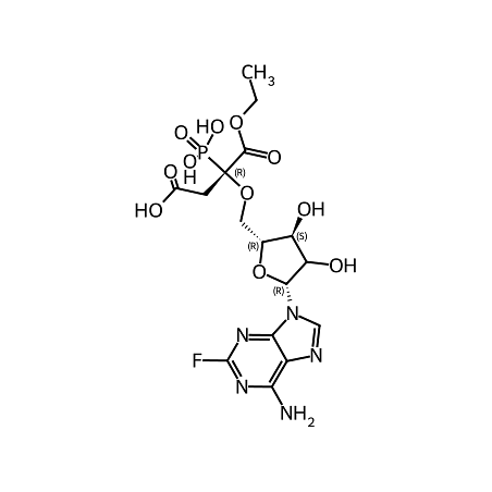 CCOC(=O)[C@](CC(=O)O)(OC[C@H]1O[C@@H](n2cnc3c(N)nc(F)nc32)C(O)[C@@H]1O)P(=O)(O)O